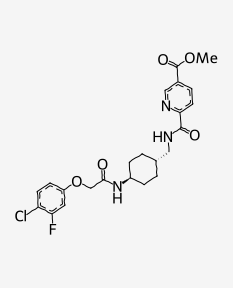 COC(=O)c1ccc(C(=O)NC[C@H]2CC[C@H](NC(=O)COc3ccc(Cl)c(F)c3)CC2)nc1